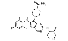 NC(=O)C1CCC(n2c(Nc3c(F)cc(F)cc3F)nc3cnc(N[C@H]4CCOC[C@@H]4F)nc32)CC1